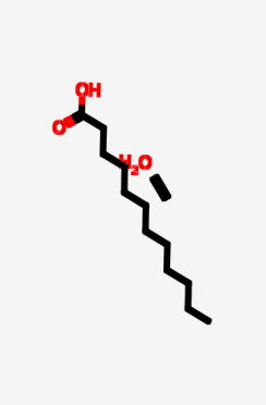 C=C.CCCCCCCCCCCC(=O)O.O